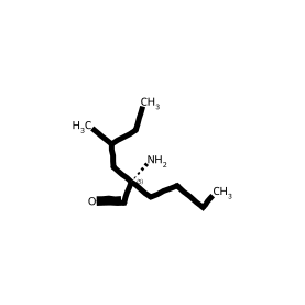 CCCC[C@@](N)(C=O)CC(C)CC